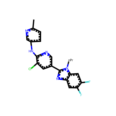 CCCn1c(-c2cnc(Nc3ccc(C)nc3)c(Cl)c2)nc2cc(F)c(F)cc21